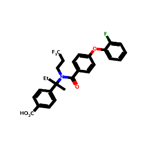 CCC(C)(c1ccc(C(=O)O)cc1)N(CCC(F)(F)F)C(=O)c1ccc(Oc2ccccc2F)cc1